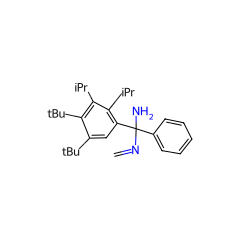 C=NC(N)(c1ccccc1)c1cc(C(C)(C)C)c(C(C)(C)C)c(C(C)C)c1C(C)C